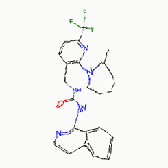 CC1CCCCN1c1nc(C(F)(F)F)ccc1CNC(=O)Nc1nccc2ccccc12